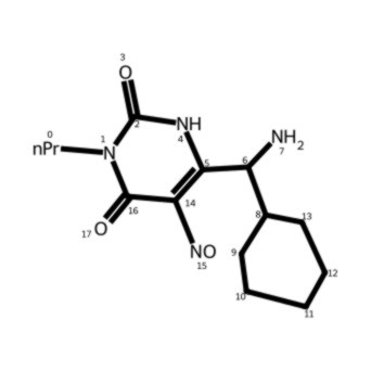 CCCn1c(=O)[nH]c(C(N)C2CCCCC2)c(N=O)c1=O